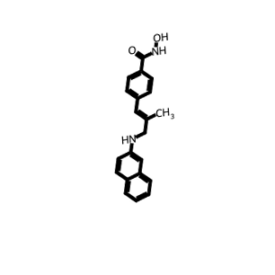 CC(=Cc1ccc(C(=O)NO)cc1)CNc1ccc2ccccc2c1